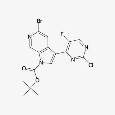 CC(C)(C)OC(=O)n1cc(-c2nc(Cl)ncc2F)c2cc(Br)ncc21